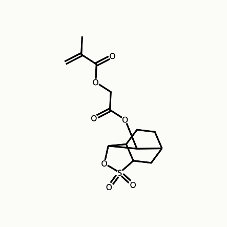 C=C(C)C(=O)OCC(=O)OC1C2CCC3C1OS(=O)(=O)C3C2